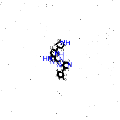 Cc1cccc(-c2cncc3[nH]c(-c4n[nH]c5ccc(C6CCNCC6)nc45)nc23)c1